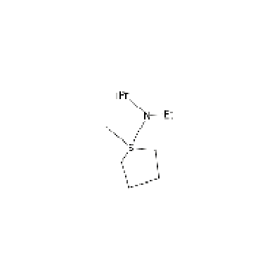 CCN(C(C)C)S1(C)CCCC1